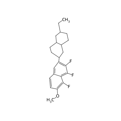 CCC1CCC2CC(c3cc4ccc(OC)c(F)c4c(F)c3F)CCC2C1